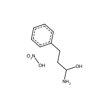 NC(O)CCc1ccccc1.O=[N+]([O-])O